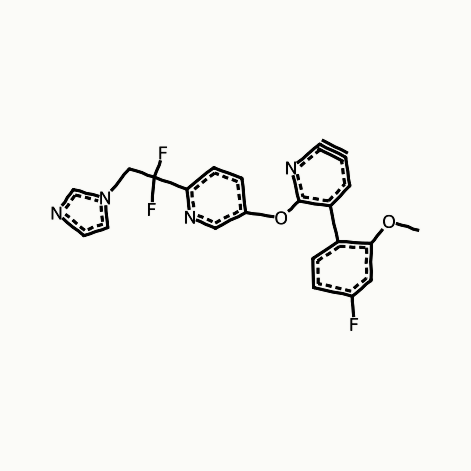 COc1cc(F)ccc1-c1cc#cnc1Oc1ccc(C(F)(F)Cn2ccnc2)nc1